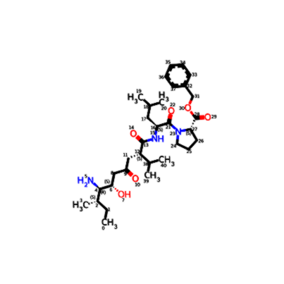 CC[C@H](C)[C@@H](N)[C@@H](O)CC(=O)C[C@H](C(=O)N[C@@H](CC(C)C)C(=O)N1CCC[C@H]1C(=O)OCc1ccccc1)C(C)C